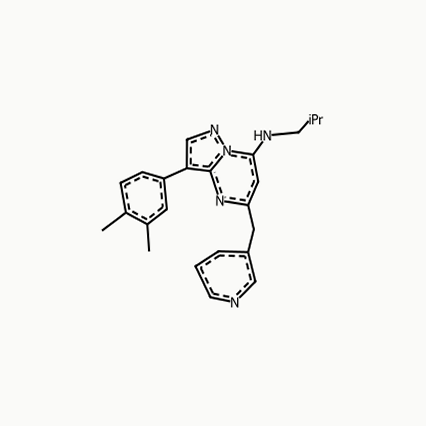 Cc1ccc(-c2cnn3c(NCC(C)C)cc(Cc4cccnc4)nc23)cc1C